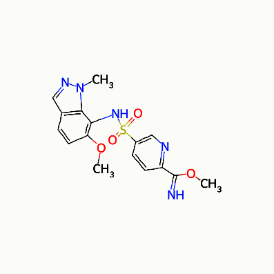 COC(=N)c1ccc(S(=O)(=O)Nc2c(OC)ccc3cnn(C)c23)cn1